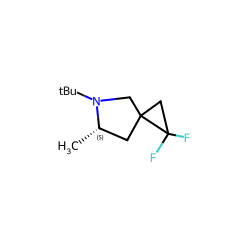 C[C@H]1CC2(CN1C(C)(C)C)CC2(F)F